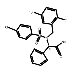 NC(=O)[C@@H](c1ccccc1)N(Cc1cc(C(F)(F)F)ccc1Cl)S(=O)(=O)c1ccc(Cl)cc1